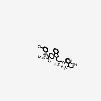 COC(=O)C1(Nc2cccc(Cl)c2)CCC2(CC1)c1ccccc1CC2C[C@@H](C)COc1ccnc2c1C(C)CCN2